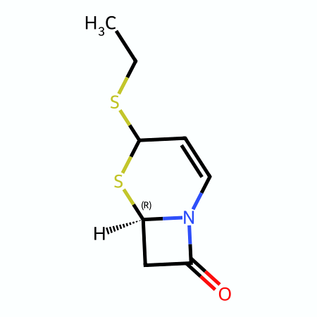 CCSC1C=CN2C(=O)C[C@H]2S1